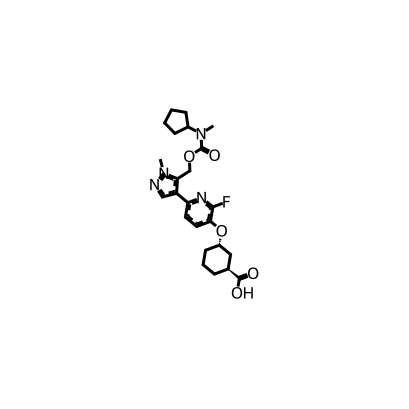 CN(C(=O)OCc1c(-c2ccc(O[C@H]3CCC[C@H](C(=O)O)C3)c(F)n2)cnn1C)C1CCCC1